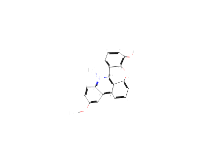 COc1ccc2c(c1)c1cccc3c1c([n+]2C)-c1cccc(OC)c1O3